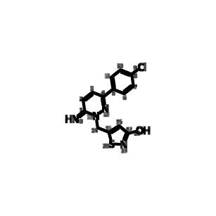 N=c1ccc(-c2ccc(Cl)cc2)nn1Cc1cc(O)ns1